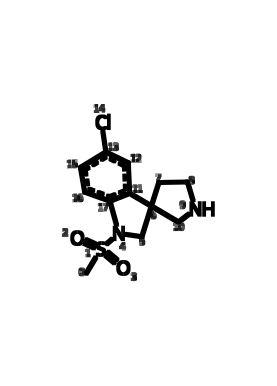 CS(=O)(=O)N1CC2(CCNC2)c2cc(Cl)ccc21